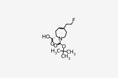 CC(C)(C)OC(=O)N1CCC(CCF)=CC[C@H]1C(=O)O